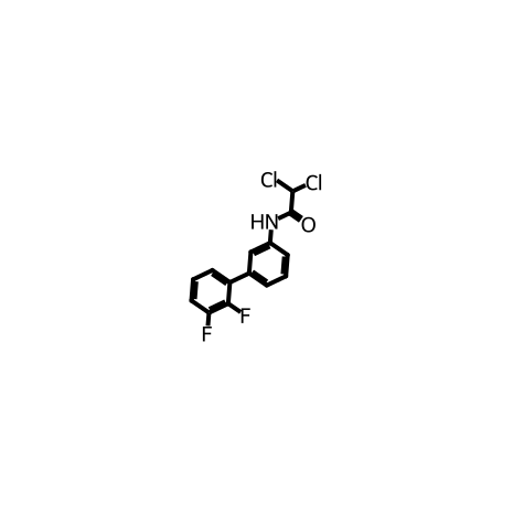 O=C(Nc1cccc(-c2cccc(F)c2F)c1)C(Cl)Cl